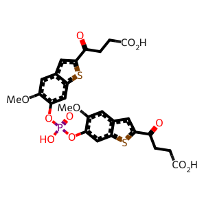 COc1cc2cc(C(=O)CCC(=O)O)sc2cc1OP(=O)(O)Oc1cc2sc(C(=O)CCC(=O)O)cc2cc1OC